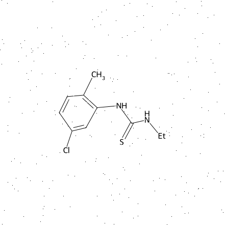 CCNC(=S)Nc1cc(Cl)ccc1C